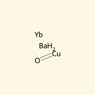 [BaH2].[O]=[Cu].[Yb]